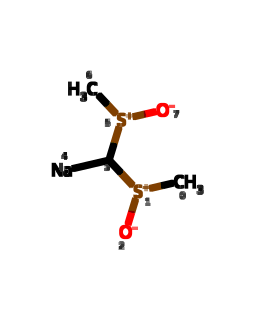 C[S+]([O-])[CH]([Na])[S+](C)[O-]